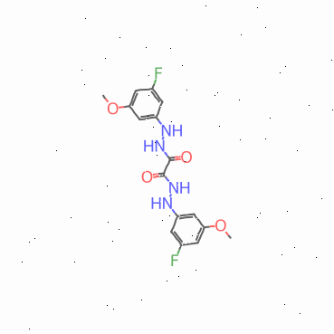 COc1cc(F)cc(NNC(=O)C(=O)NNc2cc(F)cc(OC)c2)c1